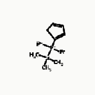 C[CH](C)[Pt]([C]1=CC=CC1)([CH](C)C)[Si](C)(C)C